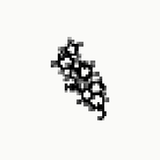 CCN1Cc2cccc3c2C(CC3NCC[C@@]2(c3ccccn3)CCOC3(CCCC3)C2)C1